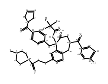 CN1CCN(C(=O)CCc2ccc3c(c2)[N+](Cc2ccc(C(=O)N4CC=CC4)cc2)(OC(=O)C(F)(F)F)C(=O)CN(C(=O)c2ccc(Cl)cc2)C3)CC1